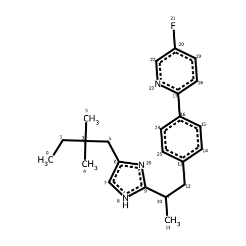 CCC(C)(C)Cc1c[nH]c([C](C)Cc2ccc(-c3ccc(F)cn3)cc2)n1